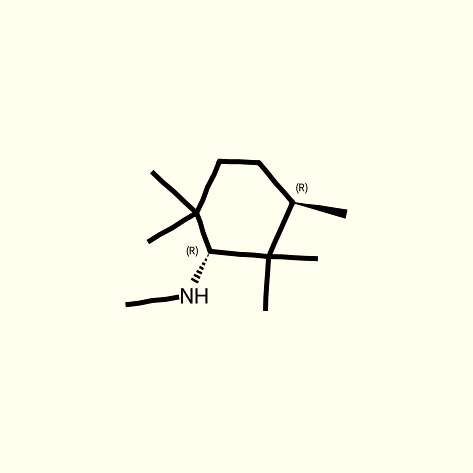 CN[C@@H]1C(C)(C)CC[C@@H](C)C1(C)C